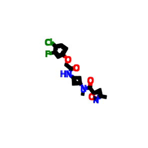 Cc1cc(C(=O)N(C)C23CC(NC(=O)COc4ccc(Cl)c(F)c4)(C2)C3)on1